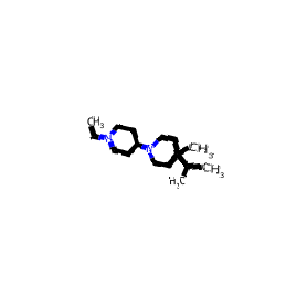 CCN1CCC(N2CCC(C)(C(C)C)CC2)CC1